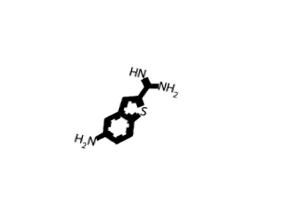 N=C(N)c1cc2cc(N)ccc2s1